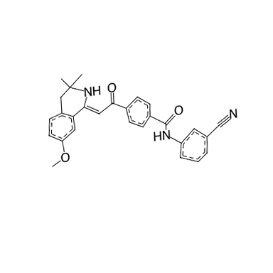 COc1ccc2c(c1)/C(=C/C(=O)c1ccc(C(=O)Nc3cccc(C#N)c3)cc1)NC(C)(C)C2